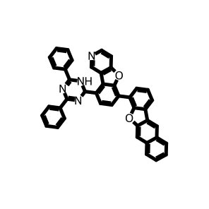 c1ccc(C2=NC(c3ccc(-c4cccc5c4oc4cc6ccccc6cc45)c4oc5ccncc5c34)NC(c3ccccc3)=N2)cc1